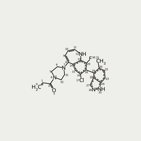 C=CC(=O)N1CCN(C2=CC=CNc3c2cc(Cl)c(-c2c(C)ccc4[nH]ncc24)c3F)CC1